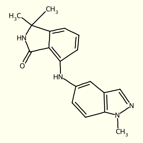 Cn1ncc2cc(Nc3cccc4c3C(=O)NC4(C)C)ccc21